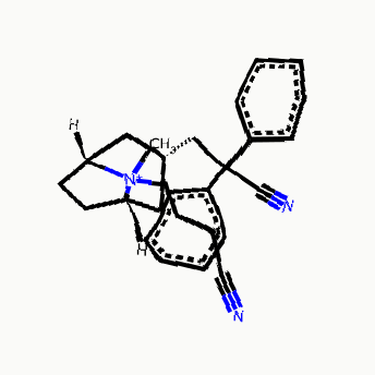 C[N+]1(CCCC#N)[C@@H]2CC[C@H]1C[C@@H](CC(C#N)(c1ccccc1)c1ccccc1)C2